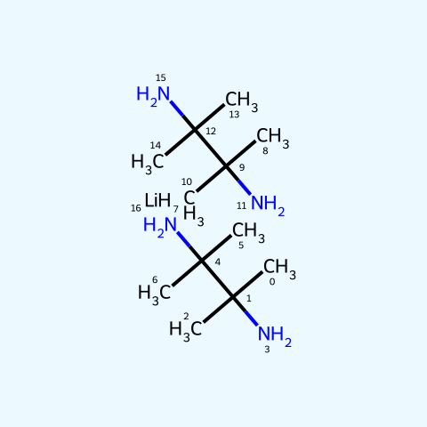 CC(C)(N)C(C)(C)N.CC(C)(N)C(C)(C)N.[LiH]